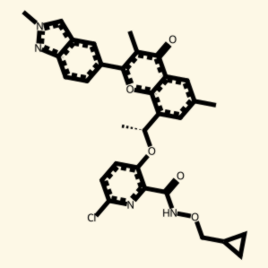 Cc1cc([C@@H](C)Oc2ccc(Cl)nc2C(=O)NOCC2CC2)c2oc(-c3ccc4nn(C)cc4c3)c(C)c(=O)c2c1